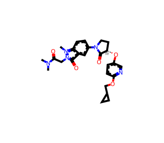 CN(C)C(=O)Cn1c(=O)c2cc(N3CC[C@H](Oc4ccc(OCC5CC5)nc4)C3=O)ccc2n1C